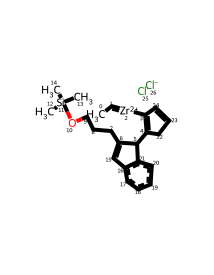 C[CH]=[Zr+2][C]1=C(C2C(CCCO[Si](C)(C)C)=Cc3ccccc32)CC=C1.[Cl-].[Cl-]